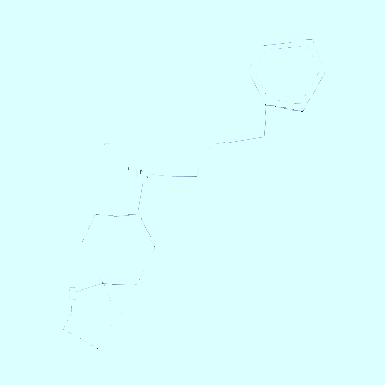 Cl.c1ccc(CCCNC2CCC3(CC2)OCCO3)cc1